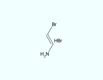 Br.NC=CBr